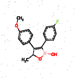 COc1ccc(C2=C(c3ccc(F)cc3)B(O)OC2C)cc1